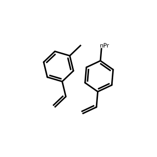 C=Cc1ccc(CCC)cc1.C=Cc1cccc(C)c1